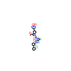 CC(=O)c1cn(CC(=O)N2C[C@H](F)C[C@H]2C(=O)Nc2cccc(-c3ccccc3Cl)c2F)c2ccc(-c3cnc(O)nc3)cc12